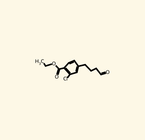 CCOC(=O)c1ccc(CCCC=O)cc1Cl